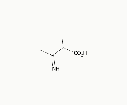 CC(=N)C(C)C(=O)O